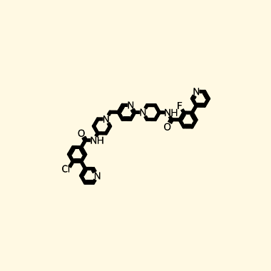 O=C(NC1CCN(Cc2ccc(N3CCC(NC(=O)c4cccc(-c5cccnc5)c4F)CC3)nc2)CC1)c1ccc(Cl)c(-c2cccnc2)c1